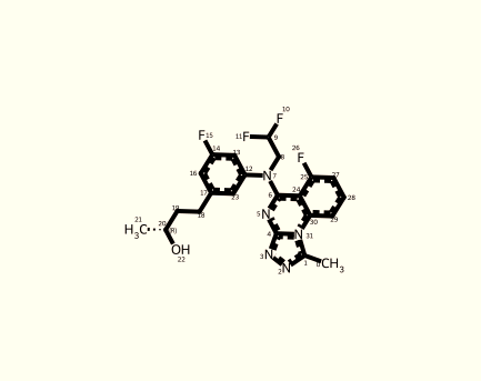 Cc1nnc2nc(N(CC(F)F)c3cc(F)cc(CC[C@@H](C)O)c3)c3c(F)cccc3n12